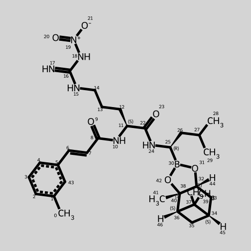 Cc1cccc(C=CC(=O)N[C@@H](CCCNC(=N)N[N+](=O)[O-])C(=O)N[C@@H](CC(C)C)B2O[C@@H]3C[C@@H]4C[C@@H](C4(C)C)[C@]3(C)O2)c1